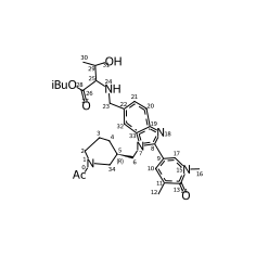 CC(=O)N1CCC[C@@H](Cn2c(-c3cc(C)c(=O)n(C)c3)nc3ccc(CNC(C(=O)OCC(C)C)C(C)O)cc32)C1